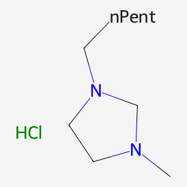 CCCCCCN1CCN(C)C1.Cl